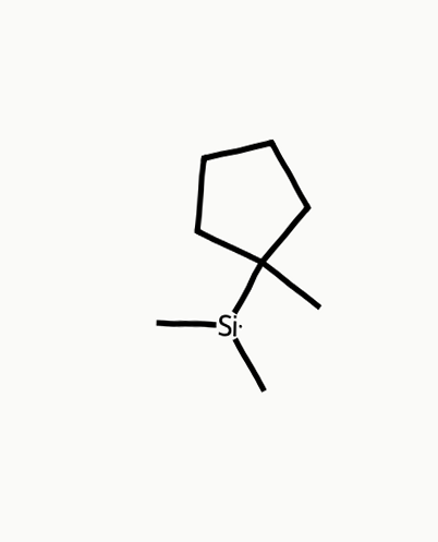 C[Si](C)C1(C)CCCC1